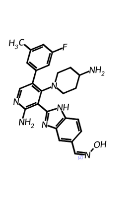 Cc1cc(F)cc(-c2cnc(N)c(-c3nc4cc(/C=N\O)ccc4[nH]3)c2N2CCC(N)CC2)c1